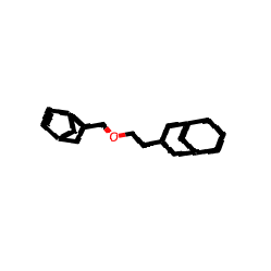 C1=CC2CC1CC2COCCC1CC2CCCC(C2)C1